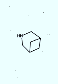 C1NCC2CC1C2